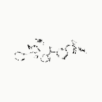 Nc1nc(-c2ccccc2)c(Oc2ccnc(Nc3cccc(CS(N)(=O)=O)c3)c2)s1